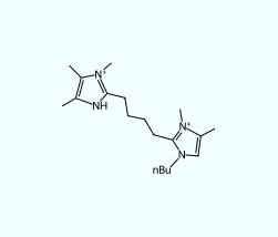 CCCCn1cc(C)[n+](C)c1CCCCc1[nH]c(C)c(C)[n+]1C